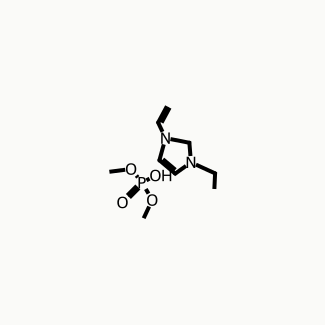 C=CN1C=CN(CC)C1.COP(=O)(O)OC